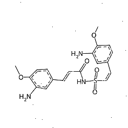 COc1ccc(/C=C\S(=O)(=O)NC(=O)/C=C/c2ccc(OC)c(N)c2)cc1N